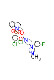 CN1CCN(C2(c3ccc(F)cc3)CCN(C(=O)COCC3CCc4ccccc4N3S(=O)(=O)c3ccc(Cl)c(Cl)c3)CC2)CC1